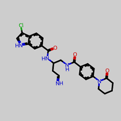 N=CCC(CNC(=O)c1ccc(N2CCCCC2=O)cc1)NC(=O)c1ccc2c(Cl)c[nH]c2c1